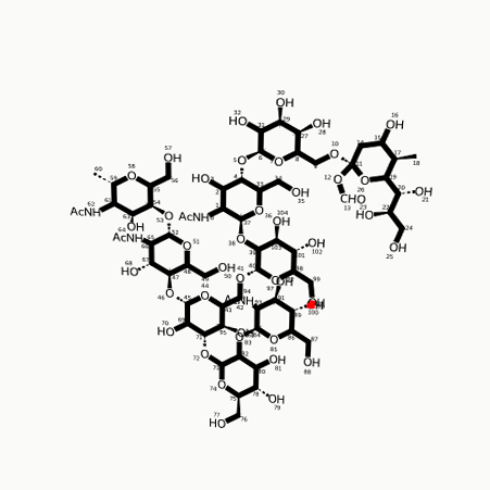 CC(=O)NC1C(O)[C@H](O[C@@H]2OC(CO[C@]3(OC=O)CC(O)[C@@H](C)C([C@H](O)[C@H](O)CO)O3)[C@H](O)[C@H](O)C2O)C(CO)O[C@H]1OC1[C@@H](OCC2O[C@@H](O[C@@H]3C(CO)O[C@@H](O[C@@H]4C(CO)O[C@@H](C)C(NC(C)=O)[C@H]4O)C(NC(C)=O)[C@H]3O)C(O)[C@@H](OC3O[C@H](CO)[C@@H](O)C(O)C3O[C@@H]3OC(CO)[C@@H](O)[C@H](O)C3NC(C)=O)[C@@H]2O)OC(CO)[C@@H](O)[C@@H]1O